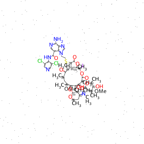 CO[C@]1(C)C[C@@H](C)C(=O)[C@H](C)[C@H]2[C@H](SCCn3cnc4c(N)ncc(C(=O)Nc5c(Cl)cncc5Cl)c43)C(=O)O[C@]2(C)[C@@H](I)OC(=O)[C@H](C)[C@@H](O[C@H]2C[C@@](C)(OC)[C@@H](O)[C@H](C)O2)[C@H](C)[C@H]1O[C@@H]1O[C@H](C)C[C@H](N(C)C)[C@H]1O